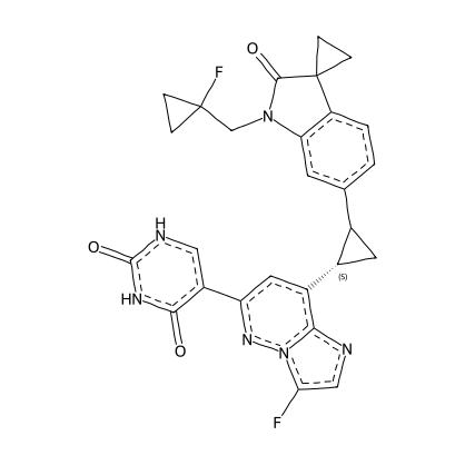 O=C1N(CC2(F)CC2)c2cc(C3C[C@@H]3c3cc(-c4c[nH]c(=O)[nH]c4=O)nn4c(F)cnc34)ccc2C12CC2